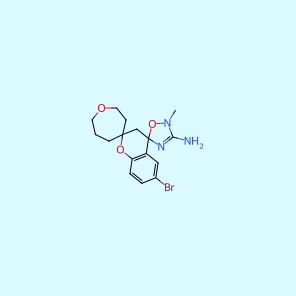 CN1OC2(CC3(CCCOCC3)Oc3ccc(Br)cc32)N=C1N